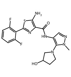 Cn1ncc(NC(=O)c2nc(-c3c(F)cccc3F)sc2N)c1N1CCC(O)C1